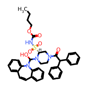 CCCCOC(=O)NS(=O)(=O)[C@@H]1CN(C(=O)C(c2ccccc2)c2ccccc2)CCN1C(O)N1c2ccccc2C=Cc2ccccc21